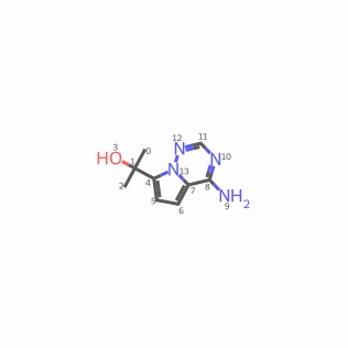 CC(C)(O)c1ccc2c(N)ncnn12